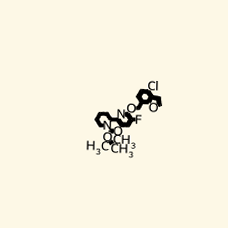 CC(C)(C)OC(=O)N1CCCCC1c1ccc(F)c(OCc2ccc(Cl)c3ccoc23)n1